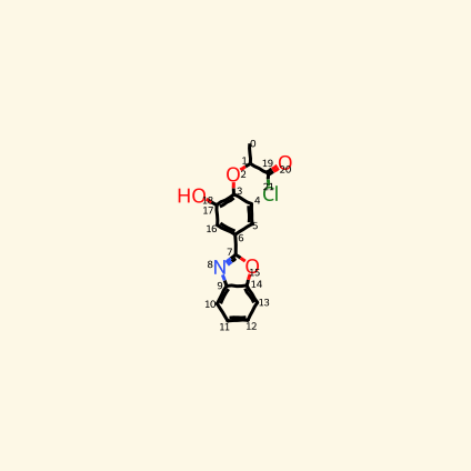 CC(Oc1ccc(-c2nc3ccccc3o2)cc1O)C(=O)Cl